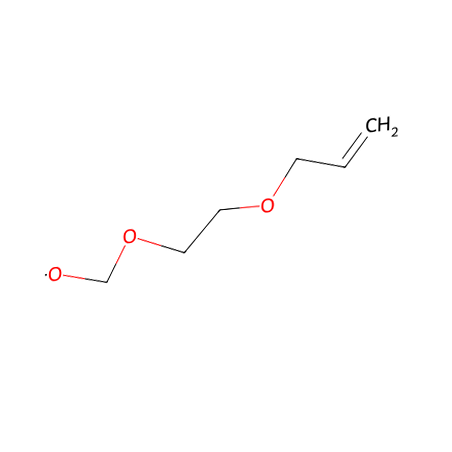 C=CCOCCOC[O]